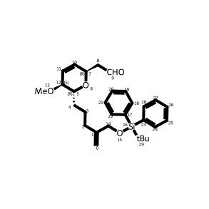 C=C(CCC[C@H]1O[C@H](CC=O)C=C[C@@H]1OC)CO[Si](c1ccccc1)(c1ccccc1)C(C)(C)C